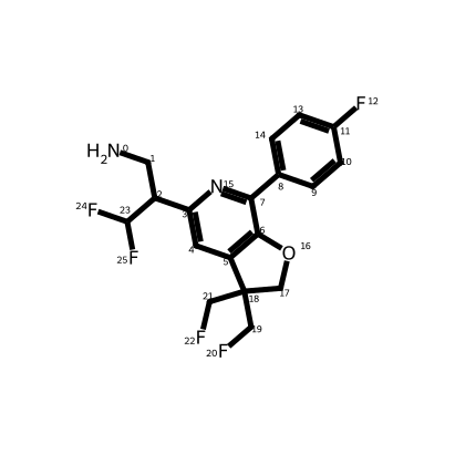 NCC(c1cc2c(c(-c3ccc(F)cc3)n1)OCC2(CF)CF)C(F)F